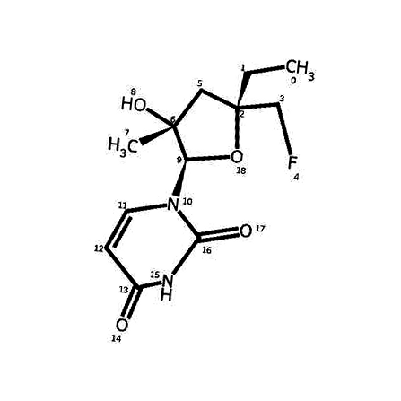 CC[C@]1(CF)C[C@@](C)(O)[C@H](n2ccc(=O)[nH]c2=O)O1